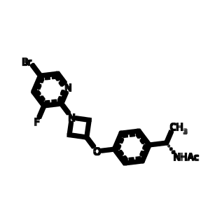 CC(=O)N[C@@H](C)c1ccc(OC2CN(c3ncc(Br)cc3F)C2)cc1